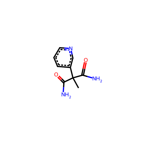 CC(C(N)=O)(C(N)=O)c1cccnc1